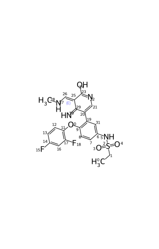 CCS(=O)(=O)Nc1ccc(Oc2ccc(F)cc2F)c(C2=CN=C(O)/C(=C/NC)C2=N)c1